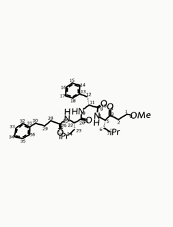 COCCC(=O)[C@H](CC(C)C)NC(=O)[C@@H](Cc1ccccc1)NC(=O)[C@H](CC(C)C)NC(=O)CCCc1ccccc1